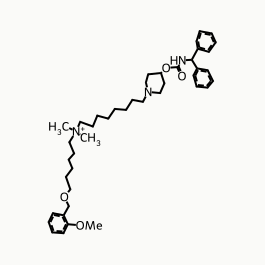 COc1ccccc1COCCCCCC[N+](C)(C)CCCCCCCCN1CCC(OC(=O)NC(c2ccccc2)c2ccccc2)CC1